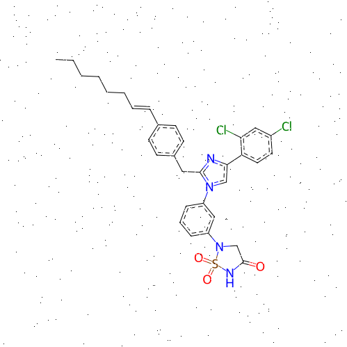 CCCCCCC=Cc1ccc(Cc2nc(-c3ccc(Cl)cc3Cl)cn2-c2cccc(N3CC(=O)NS3(=O)=O)c2)cc1